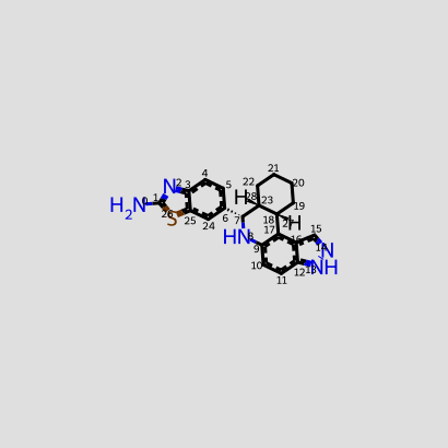 Nc1nc2ccc([C@H]3Nc4ccc5[nH]ncc5c4[C@H]4CCCC[C@H]43)cc2s1